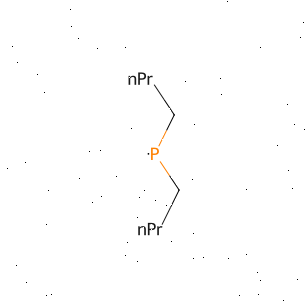 CCCC[P]CCCC